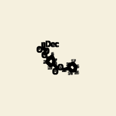 CCCCCCCCCCC(=O)OOc1ccc(C(=O)OCc2ccccc2)cc1